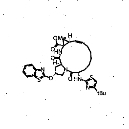 COC(=O)[C@@]12C[C@H]1/C=C\CCCCC[C@H](Nc1nc(C(C)(C)C)cs1)C(=O)N1C[C@H](Oc3nc4ccccc4s3)C[C@H]1C(=O)N2